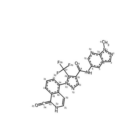 Cn1ncc2cc(NC(=O)c3cnn(-c4cccc5c4C=CNC5=C=O)c3C(F)(F)F)cnc21